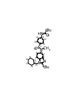 CN(c1ccc2c(c1)nc(C(C)(C)C)n2CC1CCCCC1)[S+]([O-])c1ccc(NC(=O)C(C)(C)C)cc1